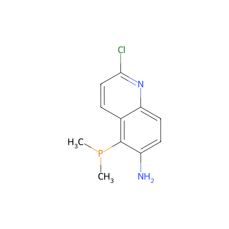 CP(C)c1c(N)ccc2nc(Cl)ccc12